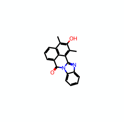 Cc1c(O)c(C)c2c3c1cccc3c(=O)n1c3ccccc3nc21